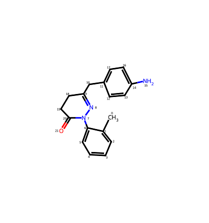 Cc1ccccc1N1N=C(Cc2ccc(N)cc2)CCC1=O